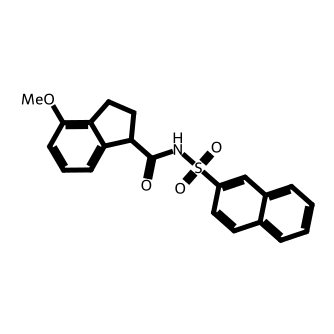 COc1cccc2c1CCC2C(=O)NS(=O)(=O)c1ccc2ccccc2c1